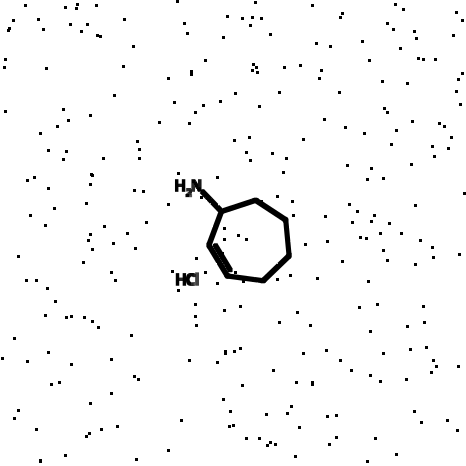 Cl.NC1C=CCCCC1